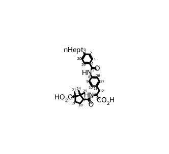 CCCCCCCc1ccc(C(=O)Nc2ccc(C[C@H](NC(=O)C3CCC(C)(C(=O)O)C3(C)C)C(=O)O)cc2)cc1